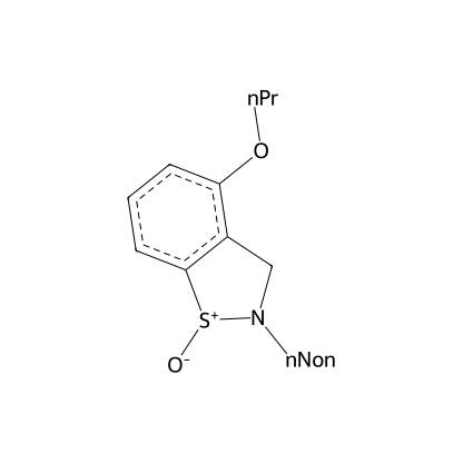 CCCCCCCCCN1Cc2c(OCCC)cccc2[S+]1[O-]